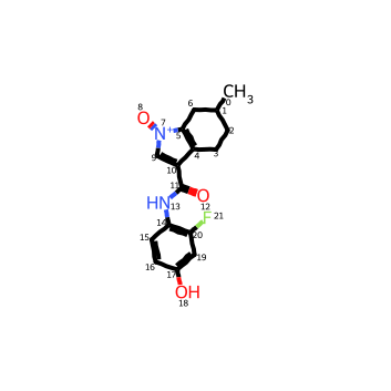 CC1CCC2=C(C1)[N+](=O)C=C2C(=O)Nc1ccc(O)cc1F